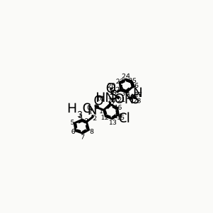 CN(Cc1ccccc1)C(=O)c1ccc(Cl)cc1NS(=O)(=O)c1cccc2nsnc12